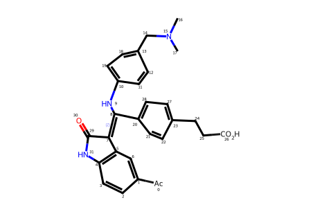 CC(=O)c1ccc2c(c1)/C(=C(/Nc1ccc(CN(C)C)cc1)c1ccc(CCC(=O)O)cc1)C(=O)N2